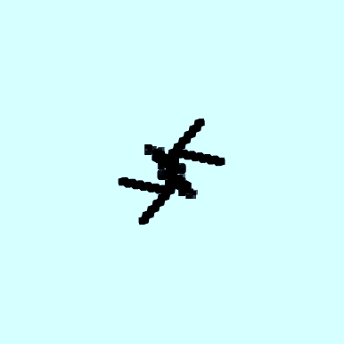 CCCCCCCCCCCCC(CCCCCCCCCC)CC1=CN2C(=O)C3=C4c5sc6cc(Br)sc6c5C(CC(CCCCCCCCCC)CCCCCCCCCCCC)=NC4C(=O)C3=C2c2sc3cc(Br)sc3c21